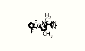 Cc1cc(OCc2c(F)cccc2F)n2nc(C)c(-c3cncnc3)c2c1